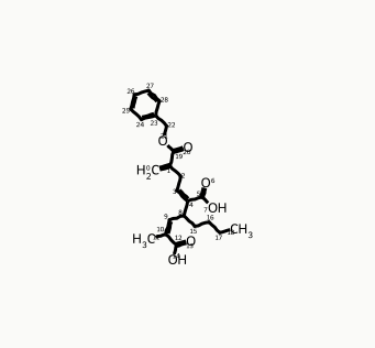 C=C(CC=C(C(=O)O)C(C=C(C)C(=O)O)CCCC)C(=O)OCc1ccccc1